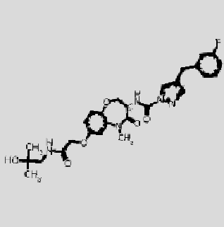 CN1C(=O)[C@@H](NC(=O)n2cc(Cc3cccc(F)c3)cn2)COc2ccc(OCC(=O)NCC(C)(C)O)cc21